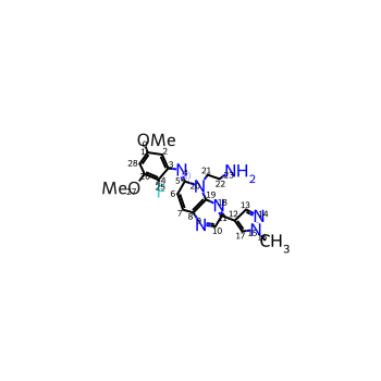 COc1cc(/N=c2\ccc3ncc(-c4cnn(C)c4)nc3n2CCN)c(F)c(OC)c1